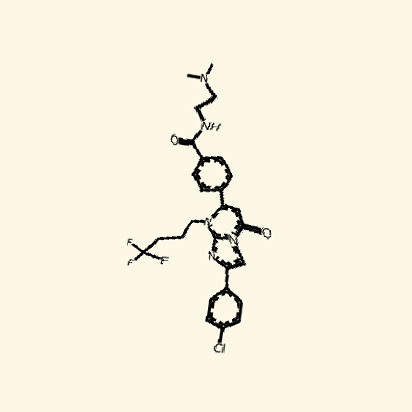 CN(C)CCNC(=O)c1ccc(-c2cc(=O)n3cc(-c4ccc(Cl)cc4)nc3n2CCCC(F)(F)F)cc1